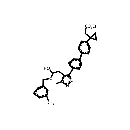 CCOC(=O)CC1(c2ccc(-c3ccc(-c4onc(C)c4CC(O)OCc4cccc(C(F)(F)F)c4)cc3)cc2)CC1